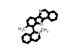 Cc1ccc2c(oc3c4ccccc4cnc23)c1-c1c2ccccc2cc[n+]1C